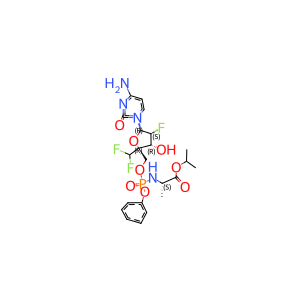 CC(C)OC(=O)[C@H](C)NP(=O)(OC[C@@]1(C(F)F)O[C@@H](n2ccc(N)nc2=O)[C@@H](F)[C@@H]1O)Oc1ccccc1